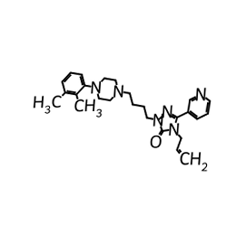 C=CCn1c(-c2cccnc2)nn(CCCCN2CCN(c3cccc(C)c3C)CC2)c1=O